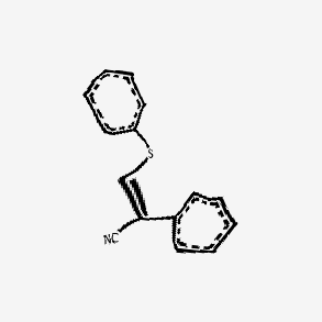 N#CC(=CSc1ccccc1)c1ccccc1